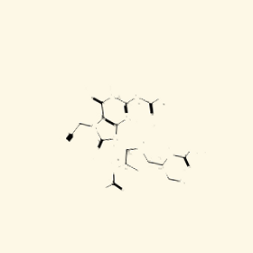 C#CCn1c(=O)n([C@@H]2O[C@H]([C@H](CN)OC(C)=O)C[C@H]2OC(C)=O)c2nc(NC(C)=O)[nH]c(=O)c21